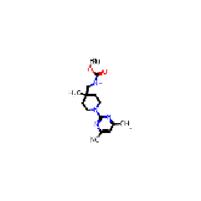 Cc1cc(C#N)nc(N2CCC(C)(CNC(=O)OC(C)(C)C)CC2)n1